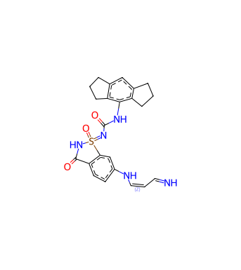 N=C/C=C\Nc1ccc2c(c1)S(=O)(=NC(=O)Nc1c3c(cc4c1CCC4)CCC3)NC2=O